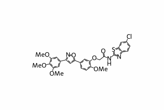 COc1ccc(-c2cc(-c3cc(OC)c(OC)c(OC)c3)no2)cc1OCC(=O)Nc1nc2ccc(Cl)cc2s1